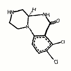 O=C1N[C@@H]2CNCCN2c2ccc(Cl)c(Cl)c21